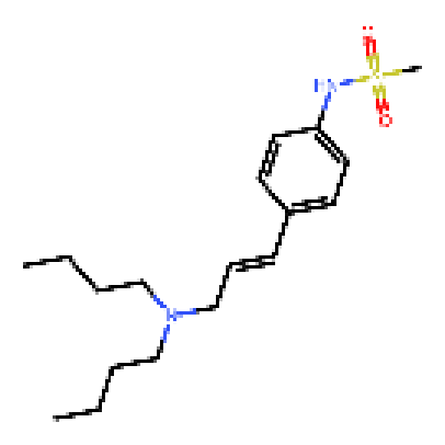 CCCCN(CC=Cc1ccc(NS(C)(=O)=O)cc1)CCCC